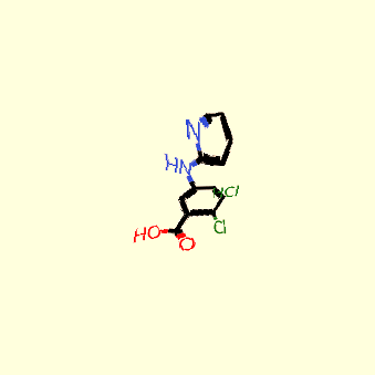 Cl.O=C(O)c1cc(Nc2ccccn2)ccc1Cl